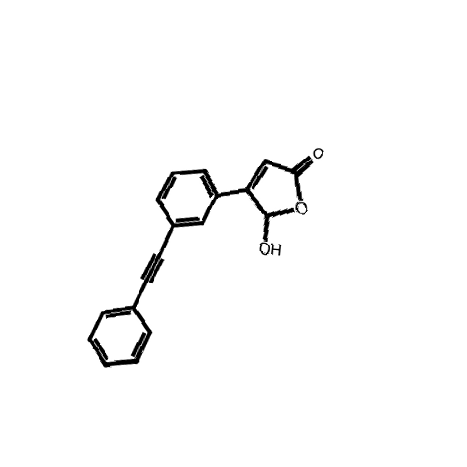 O=C1C=C(c2cccc(C#Cc3ccccc3)c2)C(O)O1